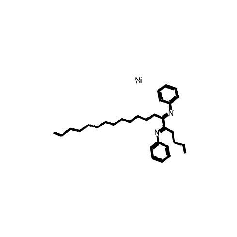 CCCCCCCCCCCCCC(=N\c1ccccc1)/C(CCCC)=N/c1ccccc1.[Ni]